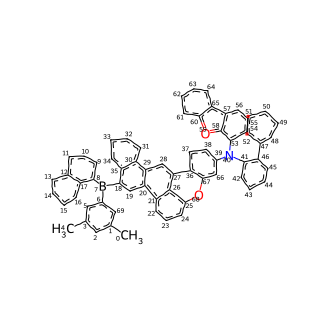 Cc1cc(C)cc(B(c2cccc3ccccc23)c2cc3c4cccc5c4c(cc3c3ccccc23)-c2ccc(N(c3ccccc3-c3ccccc3)c3cccc4c3oc3ccccc34)cc2O5)c1